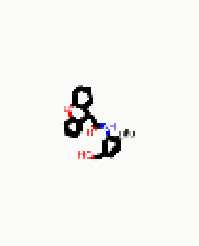 CCCCc1ccc(CO)cc1NC(=O)CC1c2ccccc2Oc2ccccc21